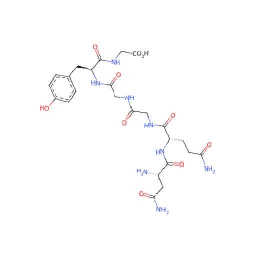 NC(=O)CC[C@H](NC(=O)[C@@H](N)CC(N)=O)C(=O)NCC(=O)NCC(=O)N[C@@H](Cc1ccc(O)cc1)C(=O)NCC(=O)O